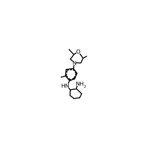 Cc1cc(N2CC(C)OC(C)C2)ccc1NC1CCCCC1N